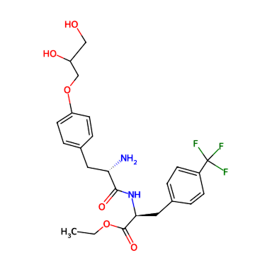 CCOC(=O)[C@H](Cc1ccc(C(F)(F)F)cc1)NC(=O)[C@@H](N)Cc1ccc(OCC(O)CO)cc1